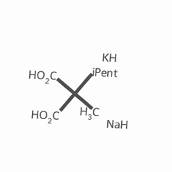 CCCC(C)C(C)(C(=O)O)C(=O)O.[KH].[NaH]